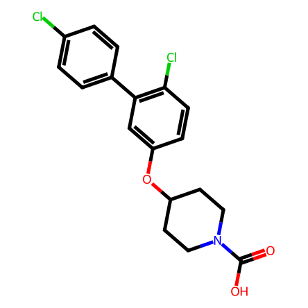 O=C(O)N1CCC(Oc2ccc(Cl)c(-c3ccc(Cl)cc3)c2)CC1